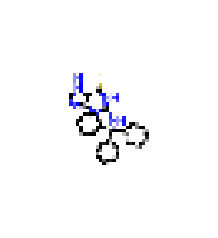 S=c1[nH]c(NC(c2ccccc2)(c2ccccc2)c2ccccc2)nc2nc[nH]c12